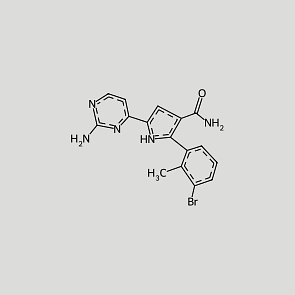 Cc1c(Br)cccc1-c1[nH]c(-c2ccnc(N)n2)cc1C(N)=O